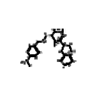 CN(C)c1ccc(CSCC(NC(=O)C(CS)Cc2ccccc2)C(=O)O)cc1